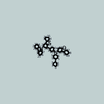 c1ccc(-c2ccc(N(c3ccc(-c4cc(-n5c6ccccc6c6ccccc65)cc5c4sc4ccccc45)cc3)c3ccc4oc5ccccc5c4c3)cc2)cc1